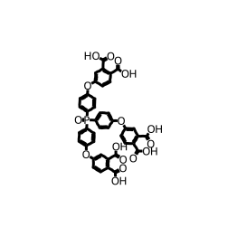 O=C(O)c1ccc(Oc2ccc(P(=O)(c3ccc(Oc4ccc(C(=O)O)c(C(=O)O)c4)cc3)c3ccc(Oc4ccc(C(=O)O)c(C(=O)O)c4)cc3)cc2)cc1C(=O)O